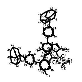 CCC1=Cc2c(-c3ccc(C45CC6CC(CC(C6)C4)C5)cc3)cc(C)cc2[CH]1[Zr]([Cl])([Cl])([CH]1C(C)=Cc2c(-c3ccc(C45CC6CC(CC(C6)C4)C5)cc3)cc(C)cc21)[SiH](CC)CC